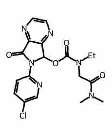 CCN(CC(=O)N(C)C)C(=O)OC1c2nccnc2C(=O)N1c1ccc(Cl)cn1